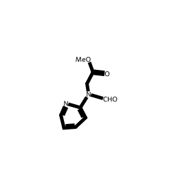 COC(=O)CN(C=O)c1ccccn1